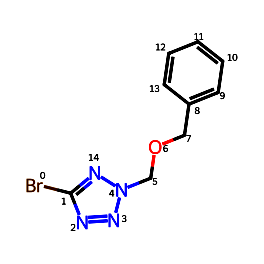 Brc1nnn(COCc2ccccc2)n1